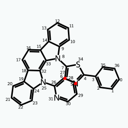 c1ccc(-c2ncc(-n3c4ccccc4c4ccc5c6ccccc6n(-c6ccccn6)c5c43)s2)cc1